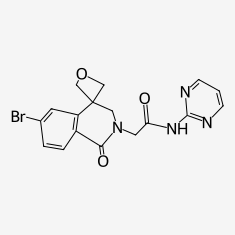 O=C(CN1CC2(COC2)c2cc(Br)ccc2C1=O)Nc1ncccn1